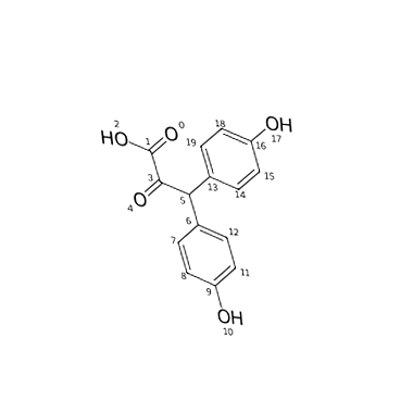 O=C(O)C(=O)C(c1ccc(O)cc1)c1ccc(O)cc1